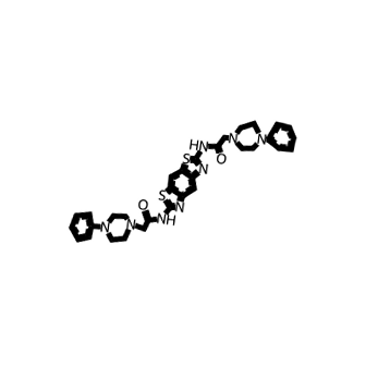 O=C(CN1CCN(c2ccccc2)CC1)Nc1nc2cc3nc(NC(=O)CN4CCN(c5ccccc5)CC4)sc3cc2s1